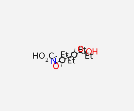 CCC(O)(CC)CC(=O)c1ccc(C(CC)(CC)c2ccc(C(=O)N(C)C(C)C(=O)O)c(C)c2)cc1C